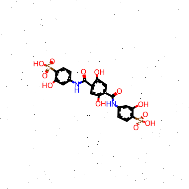 O=C(Nc1ccc(S(=O)(=O)O)c(O)c1)c1cc(O)c(C(=O)Nc2ccc(S(=O)(=O)O)c(O)c2)cc1O